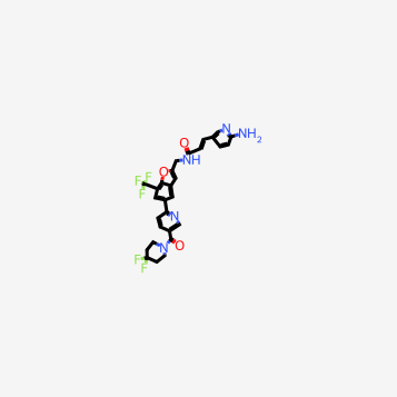 Nc1ccc(C=CC(=O)NCc2cc3cc(-c4ccc(C(=O)N5CCC(F)(F)CC5)cn4)cc(C(F)(F)F)c3o2)cn1